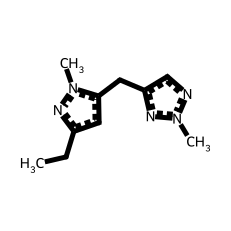 CCc1cc(Cc2cnn(C)n2)n(C)n1